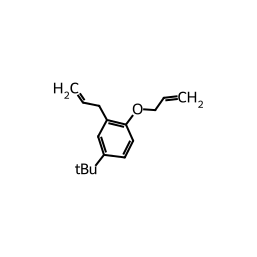 C=CCOc1ccc(C(C)(C)C)cc1CC=C